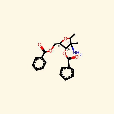 CC1O[C@H](COC(=O)c2ccccc2)[C@@H](OC(=O)c2ccccc2)[C@@]1(C)N